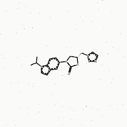 CC(C)n1ccc2cc(N3C[C@H](Cn4ccnn4)OC3=O)ccc21